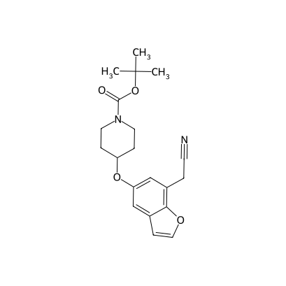 CC(C)(C)OC(=O)N1CCC(Oc2cc(CC#N)c3occc3c2)CC1